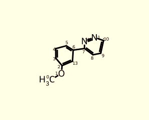 COc1cccc(-c2cc[c]nn2)c1